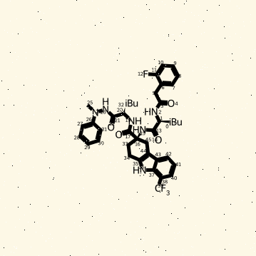 CCC(C)[C@H](NC(=O)Cc1ccccc1F)C(=O)N[C@]1(C(=O)NC(C(=O)NN(C)c2ccccc2)[C@@H](C)CC)CCc2[nH]c3c(C(F)(F)F)cccc3c2C1